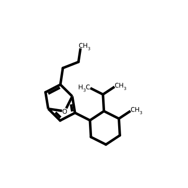 CCCc1cc2cc(C3CCCC(C)C3C(C)C)c1o2